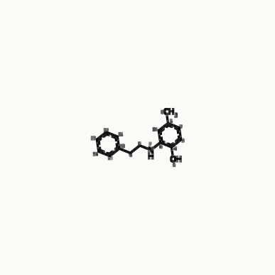 Cc1ccc(O)c(NCCc2ccccc2)c1